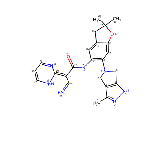 Cc1n[nH]c2c1CN(c1cc3c(cc1NC(=O)/C(C=N)=C1\N=CC=CN1)CC(C)(C)O3)C2